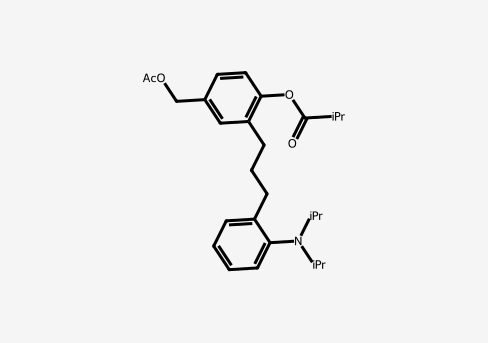 CC(=O)OCc1ccc(OC(=O)C(C)C)c(CCCc2ccccc2N(C(C)C)C(C)C)c1